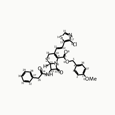 COc1ccc(COC(=O)C2=C(C=Cc3scnc3Cl)CS[C@H]3C(NC(=O)Cc4ccccc4)C(=O)N23)cc1